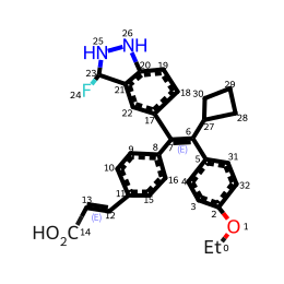 CCOc1ccc(/C(=C(\c2ccc(/C=C/C(=O)O)cc2)c2ccc3c(c2)C(F)NN3)C2CCC2)cc1